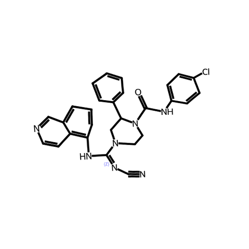 N#C/N=C(/Nc1cccc2cnccc12)N1CCN(C(=O)Nc2ccc(Cl)cc2)C(c2ccccc2)C1